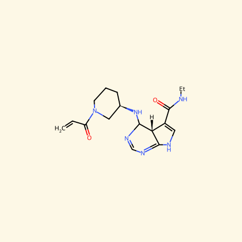 C=CC(=O)N1CCC[C@@H](NC2N=CN=C3NC=C(C(=O)NCC)[C@H]32)C1